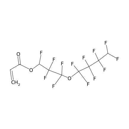 C=CC(=O)OC(F)C(F)(F)C(F)(F)OC(F)(F)C(F)(F)C(F)(F)C(F)F